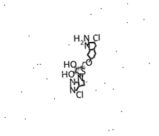 Nc1nc2cc(OC[C@H]3S[C@@H](n4ccc5c(Cl)ncnc54)[C@H](O)[C@@H]3O)ccc2cc1Cl